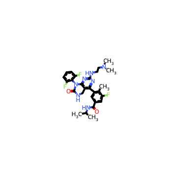 Cc1c(F)cc(C(=O)NC(C)C)cc1-c1nc(NCCN(C)C)nc2c1CNC(=O)N2c1c(F)cccc1F